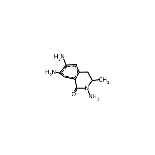 CC1Cc2cc(N)c(N)cc2C(=O)N1N